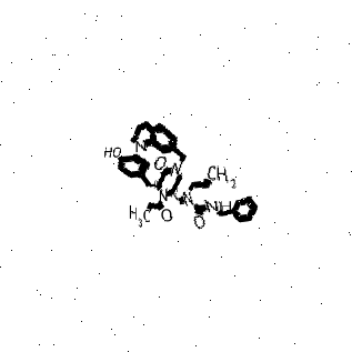 C=CCN(C[C@H]1CN(Cc2ccc3cccnc3c2)C(=O)[C@H](Cc2ccc(O)cc2)N1C(=O)CC)C(=O)NCc1ccccc1